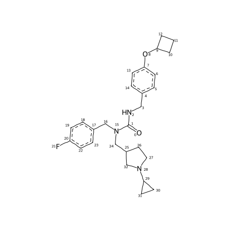 O=C(NCc1ccc(OC2CCC2)cc1)N(Cc1ccc(F)cc1)CC1CCN(C2CC2)C1